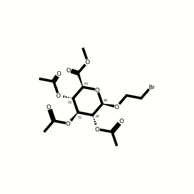 COC(=O)[C@H]1O[C@@H](OCCBr)[C@H](OC(C)=O)[C@@H](OC(C)=O)[C@@H]1OC(C)=O